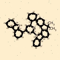 CC1(C)c2ccccc2-c2c1ccc1c3ccccc3n(-c3nc(-c4ccccc4)cc(-c4cccc5c4sc4ccccc45)n3)c21